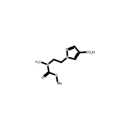 CCOC(=O)c1cnn(CCN(C)C(=O)OC(C)(C)C)c1